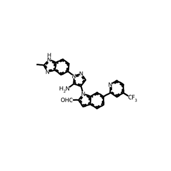 Cc1nc2cc(-n3ncc(-n4c(C=O)cc5ccc(-c6cc(C(F)(F)F)ccn6)cc54)c3N)ccc2[nH]1